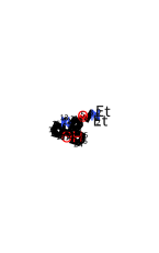 CCN(CC)CCOc1ccc2c(c1)N(C)c1ccccc1C2(O)c1ccccc1